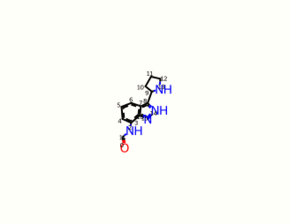 O=CNc1cccc2c(C3CCCN3)[nH]nc12